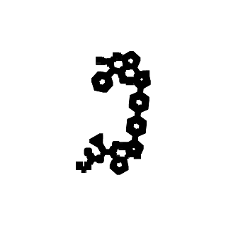 CCN(CC)[C@@H](C(=O)N1CCC[C@H]1c1ncc(-c2ccc(-c3ccc(-c4cnc([C@@H]5CCCN5C(=O)[C@H](OC(N)=O)C5CC5)[nH]4)cc3)cc2)[nH]1)c1ccccc1